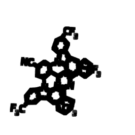 N#Cc1cc(-n2c3ccc(C(F)(F)F)cc3c3cc(C(F)(F)F)ccc32)c(-c2cc(-c3ccccc3)nc(-c3ccccc3)n2)c(-n2c3ccc(C(F)(F)F)cc3c3cc(C(F)(F)F)ccc32)c1